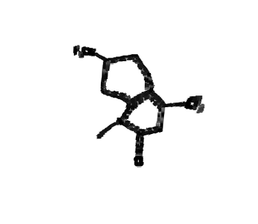 Cn1c(=O)cc(C(F)(F)F)c2ccc(NC(F)(F)F)cc21